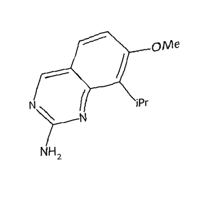 COc1ccc2cnc(N)nc2c1C(C)C